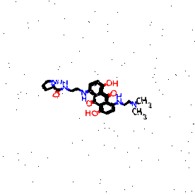 CN(C)CCNc1ccc(O)c2c1C(=O)c1c(O)ccc(NCCNC(=O)C3CCCN3)c1C2=O